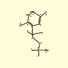 CC(C)(CO[Si](C)(C)C(C)(C)C)C1=C(Cl)NNC(Cl)=C1